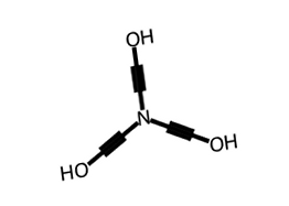 OC#CN(C#CO)C#CO